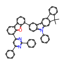 CC1(C)c2ccccc2-c2cc3c4cc(-c5cccc6c5oc5c(-c7cc(-c8ccccc8)nc(-c8ccccc8)n7)cccc56)ccc4n(-c4ccccc4)c3cc21